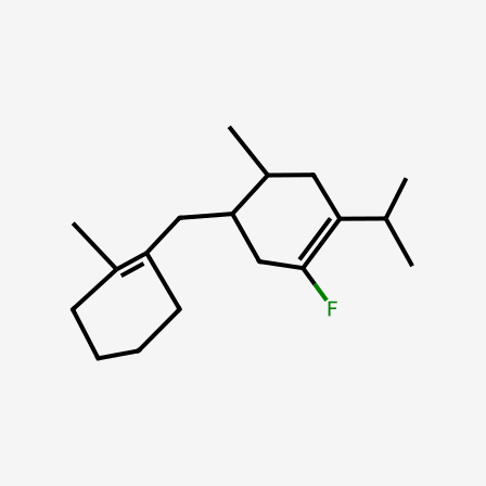 CC1=C(CC2CC(F)=C(C(C)C)CC2C)CCCC1